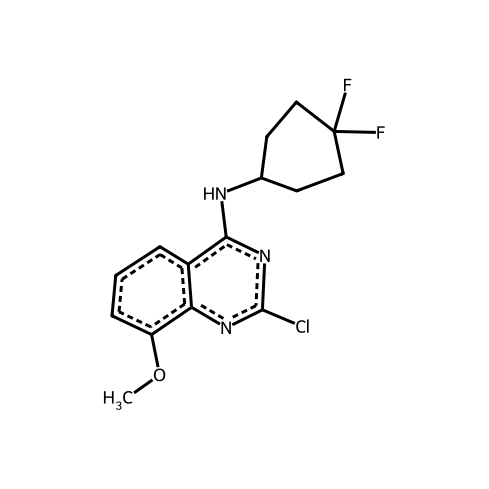 COc1cccc2c(NC3CCC(F)(F)CC3)nc(Cl)nc12